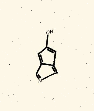 OC1=CC2=CN=CC2=C1